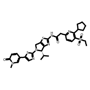 CCS(=O)(=O)c1ccc(CC(=O)Nc2nc3c(s2)CN(c2ncc(-c4ccc(=O)n(C)c4)s2)[C@H]3C(C)C)nc1C1CCCC1